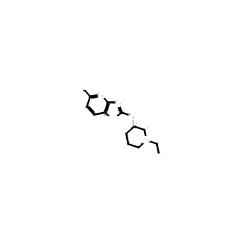 CCN1CCC[C@@H](Nc2nc3nc(Cl)ccc3o2)C1